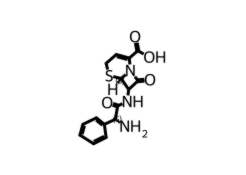 N[C@H](C(=O)NC1C(=O)N2C(C(=O)O)=CCS[C@@H]12)c1ccccc1